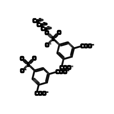 O=C([O-])c1cc(C(=O)[O-])cc(S(=O)(=O)[O-])c1.O=C([O-])c1cc(C(=O)[O-])cc(S(=O)(=O)[O-])c1.[Ca+2].[Ca+2].[Ca+2]